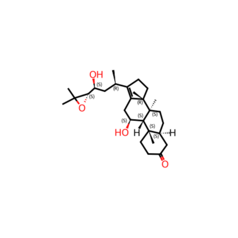 C[C@H](C[C@H](O)[C@@H]1OC1(C)C)C1=C2C[C@H](O)[C@H]3[C@@]4(C)CCC(=O)C[C@@H]4CC[C@]3(C)[C@@]2(C)CC1